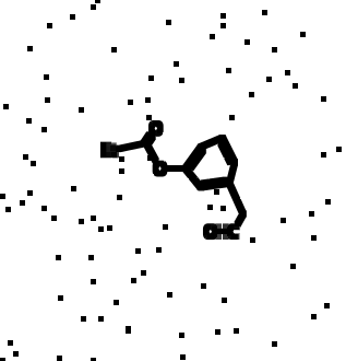 CCC(=O)Oc1cccc(CC=O)c1